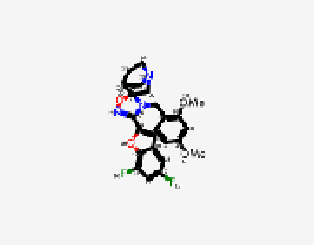 COc1ccc(CN2C(c3cc4cc(F)cc(F)c4o3)=NOC23CN2CCC3CC2)c(OC)c1